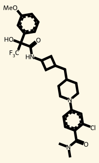 COc1cccc(C(O)(C(=O)NC2CC(CC3CCN(c4ccc(C(=O)N(C)C)c(Cl)c4)CC3)C2)C(F)(F)F)c1